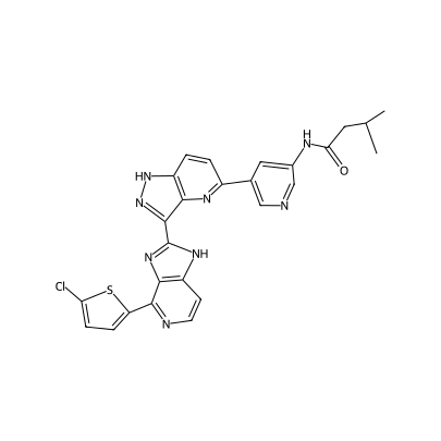 CC(C)CC(=O)Nc1cncc(-c2ccc3[nH]nc(-c4nc5c(-c6ccc(Cl)s6)nccc5[nH]4)c3n2)c1